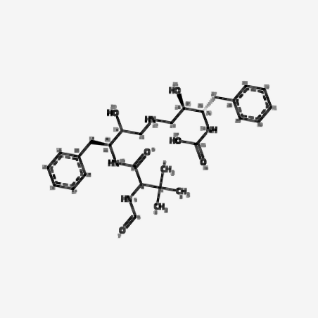 CC(C)(C)C(NC=O)C(=O)N[C@@H](Cc1ccccc1)C(O)CNC[C@@H](O)[C@H](Cc1ccccc1)NC(=O)O